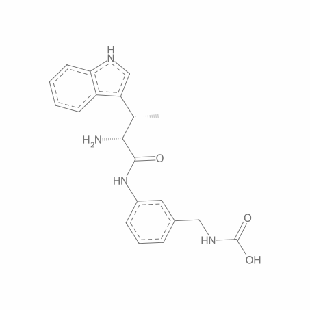 C[C@@H](c1c[nH]c2ccccc12)[C@@H](N)C(=O)Nc1cccc(CNC(=O)O)c1